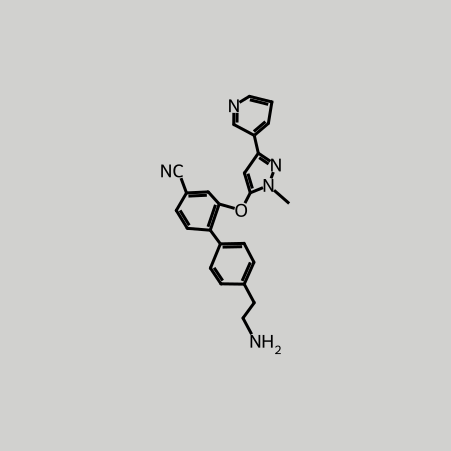 Cn1nc(-c2cccnc2)cc1Oc1cc(C#N)ccc1-c1ccc(CCN)cc1